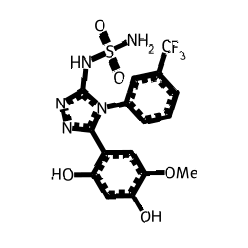 COc1cc(-c2nnc(NS(N)(=O)=O)n2-c2cccc(C(F)(F)F)c2)c(O)cc1O